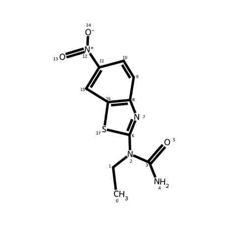 CCN(C(N)=O)c1nc2ccc([N+](=O)[O-])cc2s1